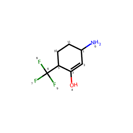 NC1C=C(O)C(C(F)(F)F)CC1